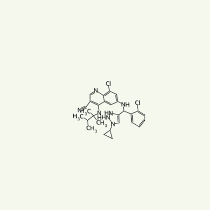 CC(C)C(C)(C)Nc1c(C#N)cnc2c(Cl)cc(NC(C3=CN(C4CC4)NN3)c3ccccc3Cl)cc12